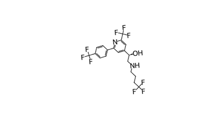 O[C@@H](CNCCCC(F)(F)F)c1cc(-c2ccc(C(F)(F)F)cc2)nc(C(F)(F)F)c1